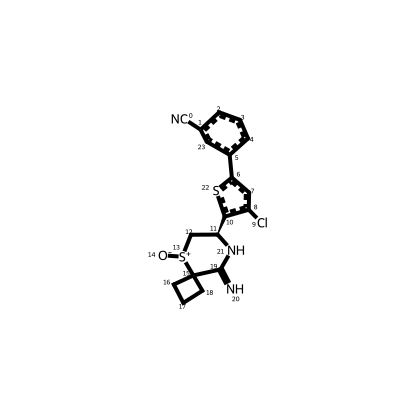 N#Cc1cccc(-c2cc(Cl)c([C@@H]3C[S+]([O-])C4(CCC4)C(=N)N3)s2)c1